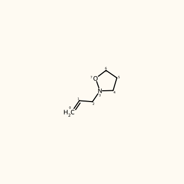 C=CCN1CC[CH]O1